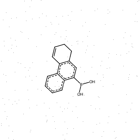 OB(O)c1cc2c(c3ccccc13)C=CCC2